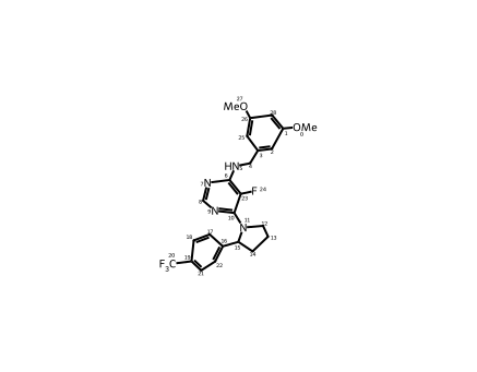 COc1cc(CNc2ncnc(N3CCCC3c3ccc(C(F)(F)F)cc3)c2F)cc(OC)c1